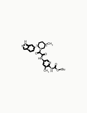 Cc1cc(NC(=O)C(=O)N2C[C@H](C)CC[C@H]2c2ccc3cn[nH]c3c2)cnc1NC(=O)OC(C)(C)C